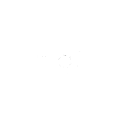 O=C(O)c1cc(C(F)(F)F)c(C(=O)O)c(C(F)(F)F)c1